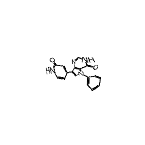 O=c1cc(-c2cn(-c3ccccc3)c3c(=O)[nH]cnc23)cc[nH]1